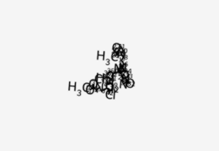 COC(=O)CNCc1cc(-c2cc(-c3nn(CCCN4CCOCC4C)c4c3CN(C(N)=O)CC4)ccc2Cl)ccc1Cl